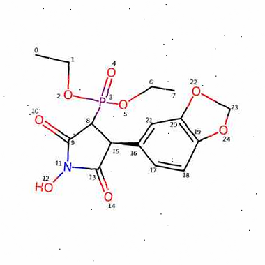 CCOP(=O)(OCC)C1C(=O)N(O)C(=O)[C@@H]1c1ccc2c(c1)OCO2